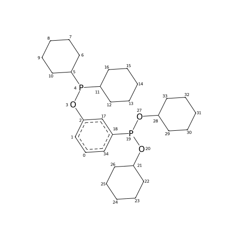 c1cc(OP(C2CCCCC2)C2CCCCC2)cc(P(OC2CCCCC2)OC2CCCCC2)c1